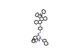 N/C(=C\C(=C/Cc1ccc(-c2cc3c4ccccc4c4c(c5ccccc5n4-c4ccccc4)c3c3ccccc23)cc1)c1ccc2ccccc2c1)c1ccc2ccccc2c1